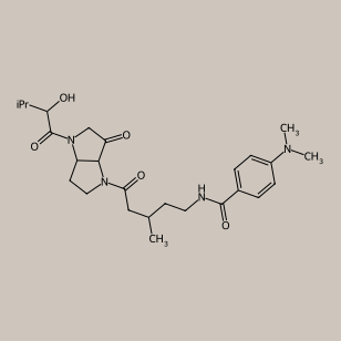 CC(CCNC(=O)c1ccc(N(C)C)cc1)CC(=O)N1CCC2C1C(=O)CN2C(=O)C(O)C(C)C